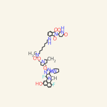 C#Cc1c(F)ccc2cc(O)cc(-c3ncc4c(N5CC6CCC(C5)N6)nc(OC[C@@]56CC[C@@H](COC(=O)N(C)CCCCCCCCNc7cccc8c7C(=O)N(C7CCC(=O)NC7=O)C8=O)N5CC(=C)C6)nc4c3F)c12